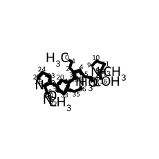 CCCc1cc(C(=O)N2CCC[C@]2(C)[C@@H](C)O)n2c1-c1cc(-c3cccnc3C#N)c(OC)cc1CC2